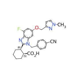 Cn1ccc(COc2cc(F)c3nc([C@@H]4CCCC[C@@H]4C(=O)O)n(Cc4ccc(C#N)cc4)c3c2)n1